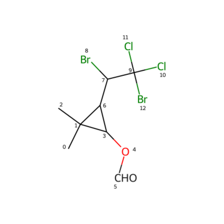 CC1(C)C(OC=O)C1C(Br)C(Cl)(Cl)Br